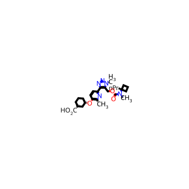 CCCC1(N(C)C(=O)OCc2c(-c3ccc(O[C@H]4CCC[C@H](C(=O)O)C4)c(C)n3)nnn2C)CCC1